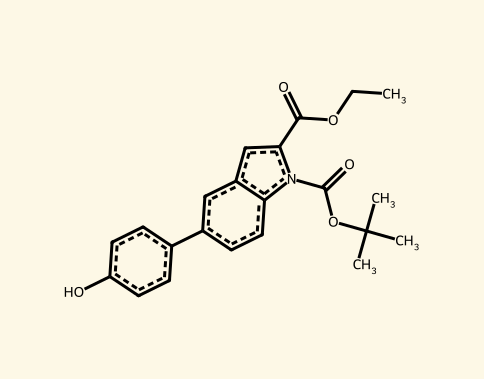 CCOC(=O)c1cc2cc(-c3ccc(O)cc3)ccc2n1C(=O)OC(C)(C)C